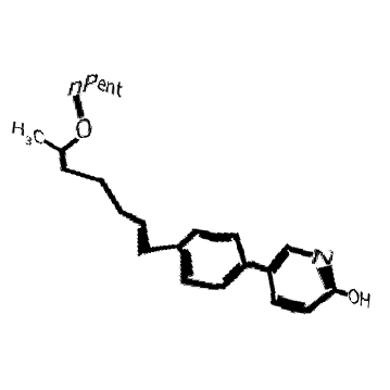 CCCCCOC(C)CCC/C=C/c1ccc(-c2ccc(O)nc2)cc1